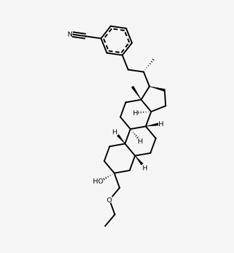 CCOC[C@@]1(O)CC[C@H]2[C@H](CC[C@@H]3[C@@H]2CC[C@]2(C)[C@@H]([C@@H](C)Cc4cccc(C#N)c4)CC[C@@H]32)C1